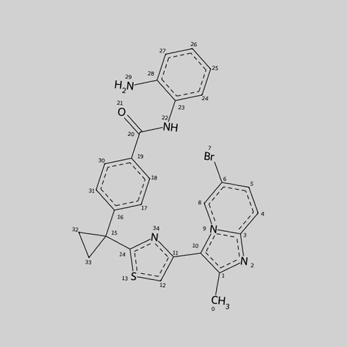 Cc1nc2ccc(Br)cn2c1-c1csc(C2(c3ccc(C(=O)Nc4ccccc4N)cc3)CC2)n1